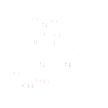 CS(=O)(=O)CN1C(=O)CN=C(c2ccccc2Cl)c2cc([N+](=O)[O-])ccc21